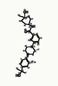 C[C@@H]1CN(c2ccc(C(C)(C)O)cc2F)CCN1c1nccc(C(=O)NC2CCC(C)(O)CC2)n1